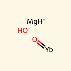 [MgH+].[OH-].[O]=[Yb]